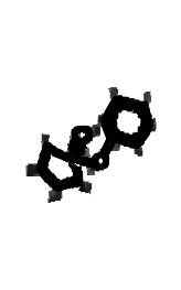 O=P1(Oc2ccccc2)CCCC1